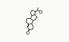 CC([O])C1CCC2C3CCC4=CC(=O)CC[C@]4(C)C3CC[C@]12C